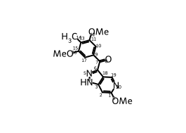 COc1cc2[nH]nc(C(=O)c3cc(OC)c(C)c(OC)c3)c2cn1